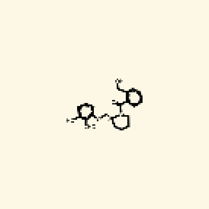 O=Cc1c(O)cccc1OC[C@@H]1CCCCN1C(=O)c1ccccc1CO